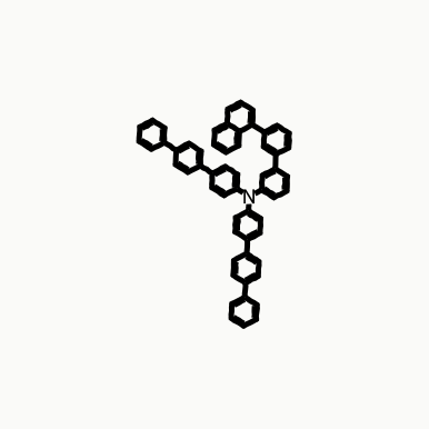 c1ccc(-c2ccc(-c3ccc(N(c4ccc(-c5ccc(-c6ccccc6)cc5)cc4)c4cccc(-c5cccc(-c6cccc7ccccc67)c5)c4)cc3)cc2)cc1